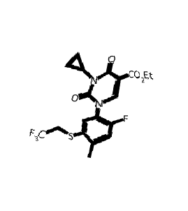 CCOC(=O)c1cn(-c2cc(SCC(F)(F)F)c(C)cc2F)c(=O)n(C2CC2)c1=O